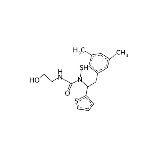 Cc1cc(C)cc(CC(c2cccs2)N(S)C(=O)NCCO)c1